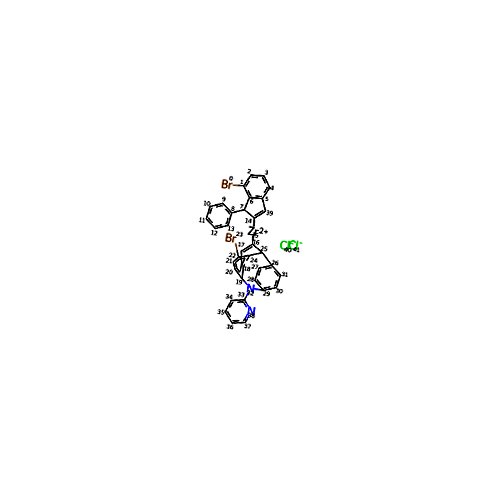 Brc1cccc2c1C(c1ccccc1)[C]([Zr+2][C]1=Cc3c4ccc(Br)c3C1c1ccc(cc1)N4c1ccccn1)=C2.[Cl-].[Cl-]